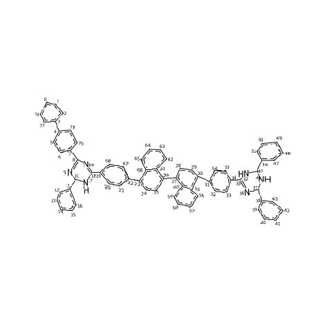 c1ccc(-c2ccc(C3=NC(c4ccccc4)NC(c4ccc(-c5ccc(-c6ccc(-c7ccc(C8=NC(c9ccccc9)NC(c9ccccc9)N8)cc7)c7ccccc67)c6ccccc56)cc4)=N3)cc2)cc1